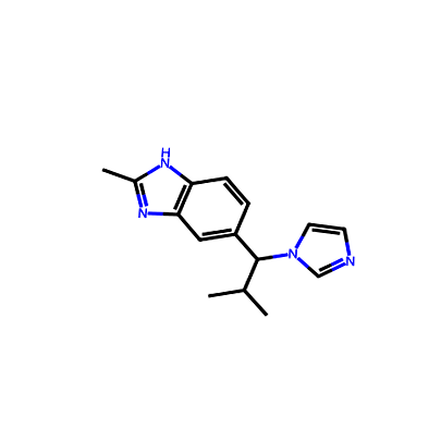 Cc1nc2cc(C(C(C)C)n3ccnc3)ccc2[nH]1